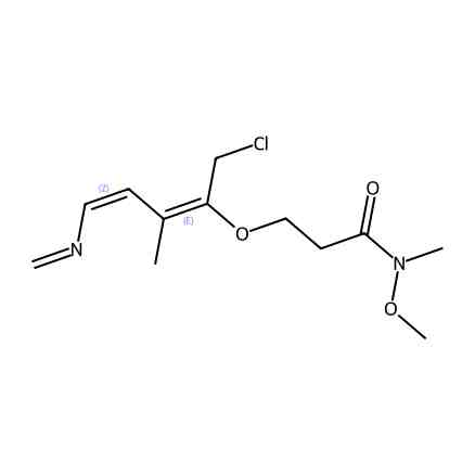 C=N/C=C\C(C)=C(/CCl)OCCC(=O)N(C)OC